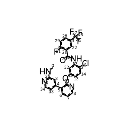 CNc1cc(-c2cccnc2Oc2ccc(Cl)c(NC(=O)c3cc(C(F)(F)F)ccc3F)c2)ccn1